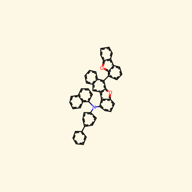 c1ccc(-c2ccc(N(c3cccc4ccccc34)c3cccc4oc5c(-c6cccc7c6oc6ccccc67)c6ccccc6cc5c34)cc2)cc1